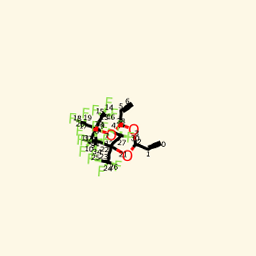 C=CC(OC(C=C)OC(C(F)(F)F)(C(F)(F)F)C(F)(F)F)OC(C(F)(F)F)(C(F)(F)F)C(F)(F)F